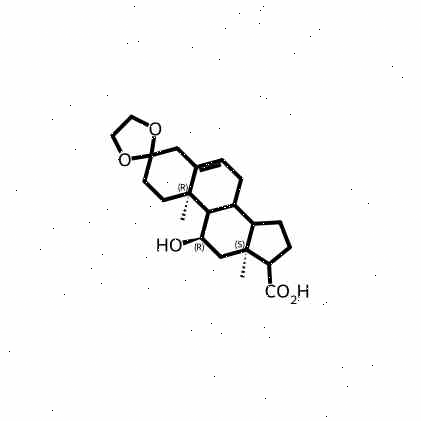 C[C@]12C[C@@H](O)C3C(CC=C4CC5(CC[C@@]43C)OCCO5)C1CCC2C(=O)O